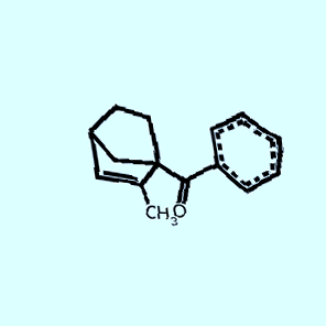 CC1=CC2CCC1(C(=O)c1ccccc1)C2